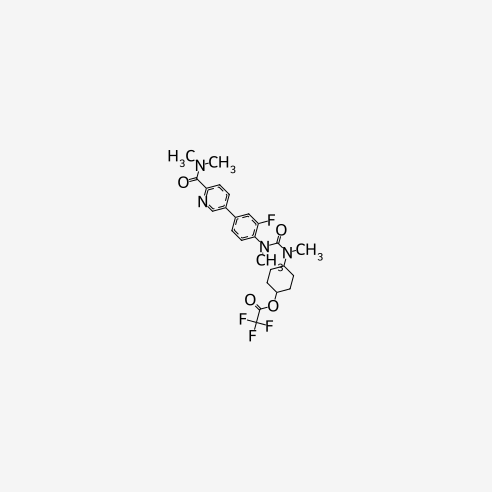 CN(C)C(=O)c1ccc(-c2ccc(N(C)C(=O)N(C)C3CCC(OC(=O)C(F)(F)F)CC3)c(F)c2)cn1